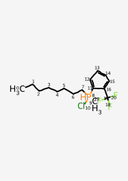 CCCCCCCC[PH](C)(Cl)c1ccccc1C(F)(F)F